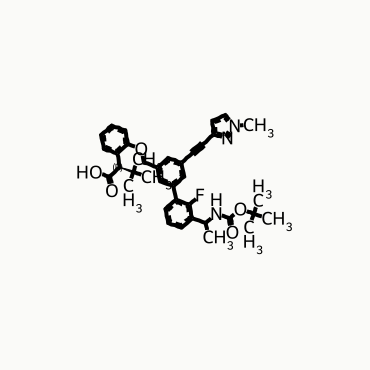 CC(NC(=O)OC(C)(C)C)c1cccc(-c2cc(C#Cc3ccn(C)n3)cc(COc3ccccc3[C@H](C(=O)O)C(C)(C)C)c2)c1F